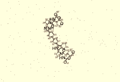 COC(=O)NC(C(=O)N1CCCC1c1[nH]c(-c2ccc(-c3ccc(-c4cnc([C@@H]5CCCN5C(=O)C(NC(=O)OC)C5CCOCC5)[nH]4)cc3)cc2)c2c1CCCC2)C1CCOCC1